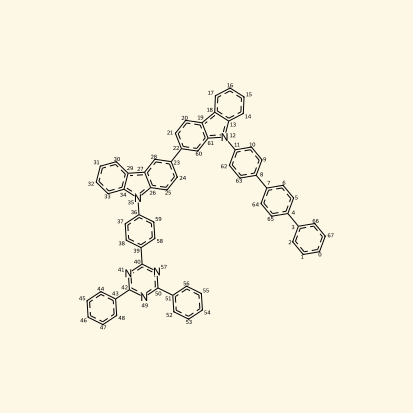 c1ccc(-c2ccc(-c3ccc(-n4c5ccccc5c5ccc(-c6ccc7c(c6)c6ccccc6n7-c6ccc(-c7nc(-c8ccccc8)nc(-c8ccccc8)n7)cc6)cc54)cc3)cc2)cc1